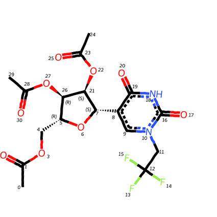 CC(=O)OC[C@H]1O[C@@H](c2cn(CC(F)(F)F)c(=O)[nH]c2=O)[C@H](OC(C)=O)[C@@H]1OC(C)=O